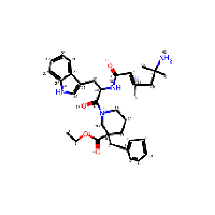 CCOC(=O)C1(Cc2ccccc2)CCCN(C(=O)C(Cc2c[nH]c3ccccc23)NC(=O)/C=C(\C)CC(C)(C)N)C1